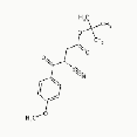 COc1ccc(C(=O)C(C#N)CC(=O)OC(C)(C)C)cc1